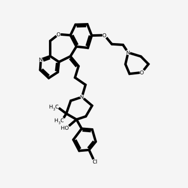 CC1(C)CN(CCC=C2c3cc(OCCN4CCOCC4)ccc3OCc3ncccc32)CCC1(O)c1ccc(Cl)cc1